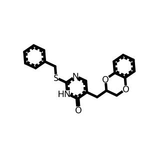 O=c1[nH]c(SCc2ccccc2)ncc1CC1COc2ccccc2O1